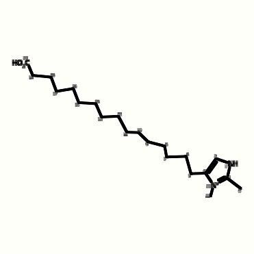 Cc1[nH]cc(CCCCCCCCCCCCCCCC(=O)O)[n+]1C